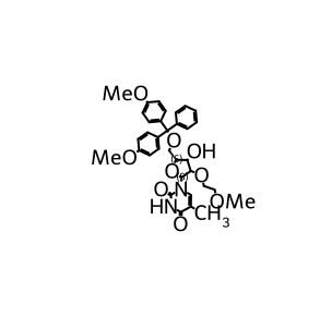 COCCOC1C(O)[C@H](COC(c2ccccc2)(c2ccc(OC)cc2)c2ccc(OC)cc2)O[C@@H]1n1cc(C)c(=O)[nH]c1=O